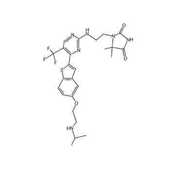 CC(C)NCCOc1ccc2sc(-c3nc(NCCN4C(=O)NC(=O)C4(C)C)ncc3C(F)(F)F)cc2c1